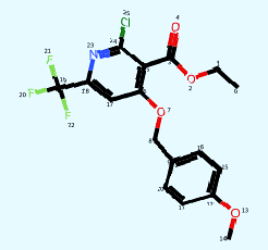 CCOC(=O)c1c(OCc2ccc(OC)cc2)cc(C(F)(F)F)nc1Cl